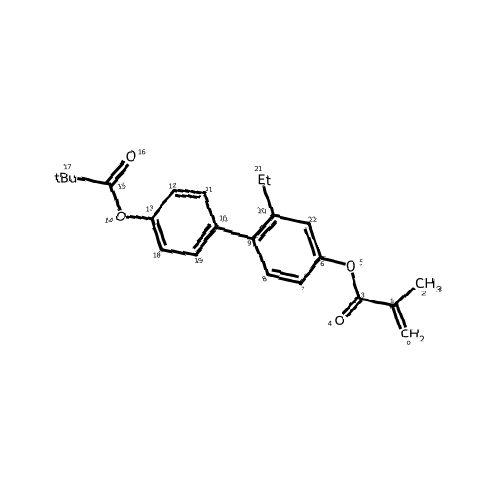 C=C(C)C(=O)Oc1ccc(-c2ccc(OC(=O)C(C)(C)C)cc2)c(CC)c1